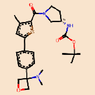 Cc1cc(-c2ccc(C3(N(C)C)COC3)cc2)sc1C(=O)N1CC[C@H](NC(=O)OC(C)(C)C)C1